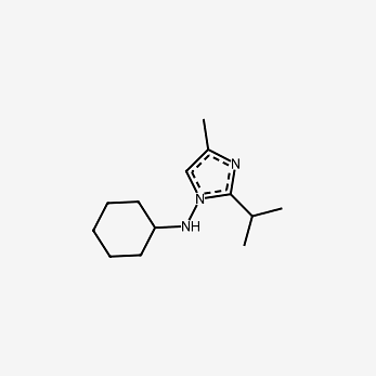 Cc1cn(NC2CCCCC2)c(C(C)C)n1